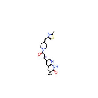 Cc1nc(C=C2CCN(C(=O)/C=C/c3cnc4c(c3)CC3(CC3)C(=O)N4)CC2)cs1